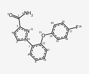 NC(=O)c1ccn(-c2ccccc2Oc2ccc(F)cc2)n1